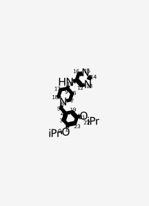 CC(C)Oc1cc(CN2CCC(Nc3cncnc3)CC2)cc(OC(C)C)c1